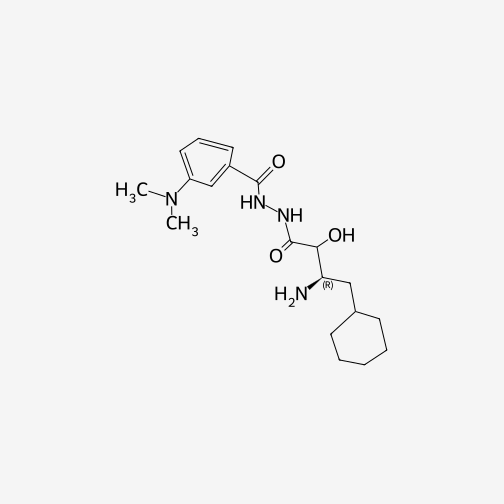 CN(C)c1cccc(C(=O)NNC(=O)C(O)[C@H](N)CC2CCCCC2)c1